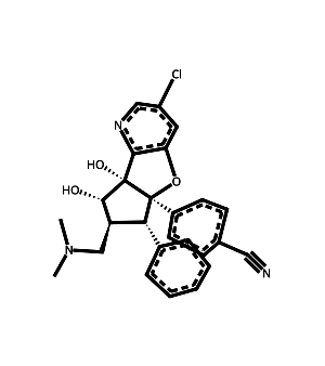 CN(C)C[C@@H]1[C@@H](c2ccccc2)[C@]2(c3ccc(C#N)cc3)Oc3cc(Cl)cnc3[C@]2(O)[C@H]1O